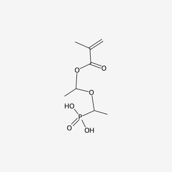 C=C(C)C(=O)OC(C)OC(C)P(=O)(O)O